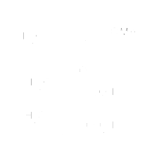 C=CC(=O)O.C=CC(=O)O.C=CC(=O)OC